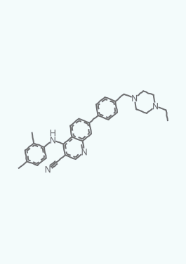 CCN1CCN(Cc2ccc(-c3ccc4c(Nc5ccc(C)cc5C)c(C#N)cnc4c3)cc2)CC1